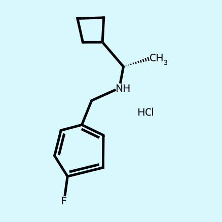 C[C@H](NCc1ccc(F)cc1)C1CCC1.Cl